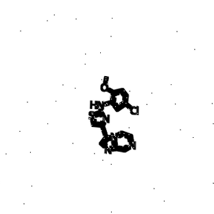 COc1ccc(Cl)cc1Nc1nc(-c2cnc3cnccn23)cs1